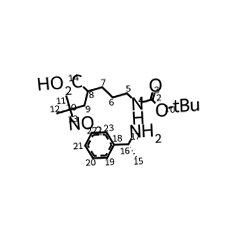 CC(C)(C)OC(=O)NCCCC(CC(C)(C)[N+](=O)[O-])C(=O)O.C[C@@H](N)c1ccccc1